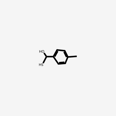 Cc1ccc(C(O)S)cc1